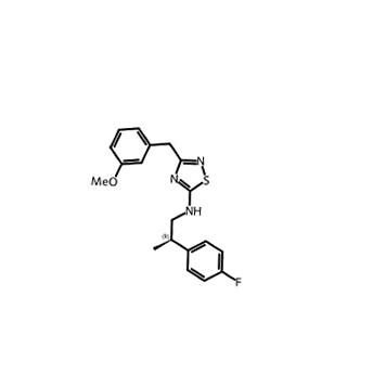 COc1cccc(Cc2nsc(NC[C@H](C)c3ccc(F)cc3)n2)c1